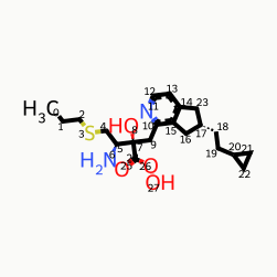 CCCSC[C@H](N)[C@](O)(Cc1nccc2c1C[C@@H](CCC1CC1)C2)C(=O)OO